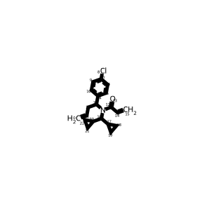 C=CCC(c1ccc(Cl)cc1)N(C(=O)C=C)C(C1CC1)C1CC1